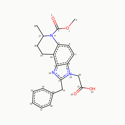 COC(=O)N1c2ccc3c(nc(Cc4ccccc4)n3CC(=O)O)c2CCC1C